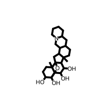 CC12CCC3CC4CCCCN4CC3C1CC13OC4(O)C(O)CCC1(C)C4C(O)C(O)C23